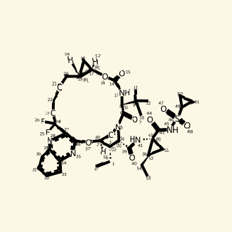 CC[C@@H]1[C@@H]2CN(C(=O)[C@H](C(C)(C)C)NC(=O)O[C@@H]3C[C@H]3CCCCC(F)(F)c3nc4ccccc4nc3O2)[C@@H]1C(=O)N[C@]1(C(=O)NS(=O)(=O)C2CC2)C[C@H]1CC